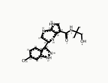 CC(C)(CO)NC(=O)c1c[nH]c2ncc(-c3n[nH]c4cc(Cl)ccc34)nc12